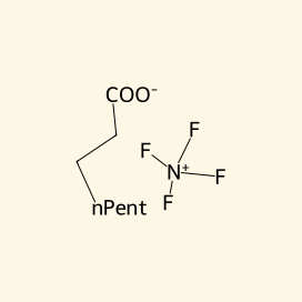 CCCCCCCC(=O)[O-].F[N+](F)(F)F